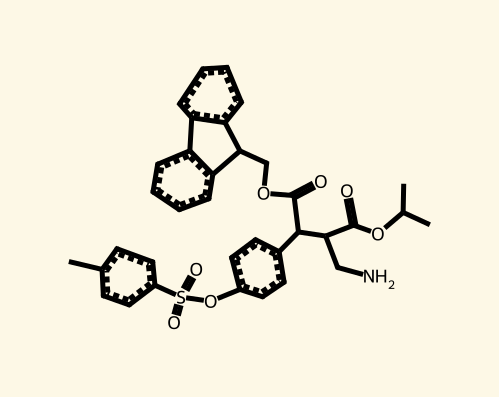 Cc1ccc(S(=O)(=O)Oc2ccc(C(C(=O)OCC3c4ccccc4-c4ccccc43)C(CN)C(=O)OC(C)C)cc2)cc1